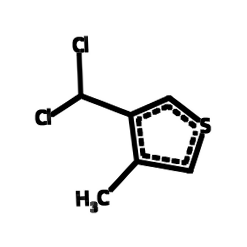 Cc1cscc1C(Cl)Cl